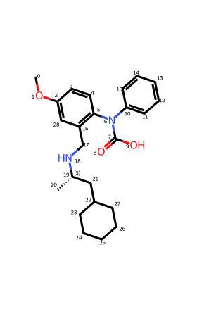 COc1ccc(N(C(=O)O)c2ccccc2)c(CN[C@@H](C)CC2CCCCC2)c1